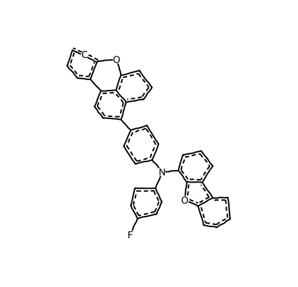 Fc1ccc(N(c2ccc(-c3ccc4c5c(cccc35)Oc3ccccc3-4)cc2)c2cccc3c2oc2ccccc23)cc1